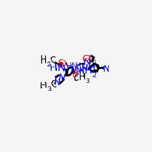 C=CC(=O)Nc1cc(N/C(=C/C(=N)N2OCC[C@@H]2c2cccc(C#N)c2)NN)c(OC)cc1N1CCN(C)CC1